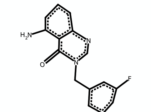 Nc1cccc2ncn(Cc3cccc(F)c3)c(=O)c12